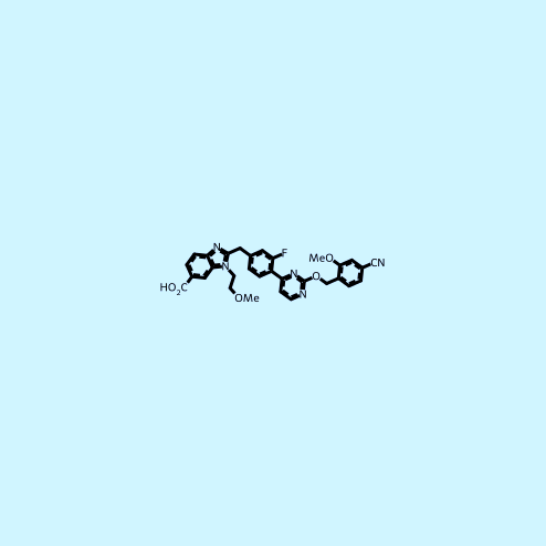 COCCn1c(Cc2ccc(-c3ccnc(OCc4ccc(C#N)cc4OC)n3)c(F)c2)nc2ccc(C(=O)O)cc21